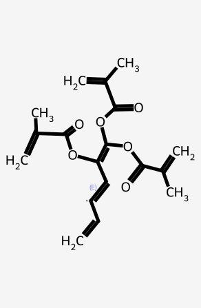 C=C/[C]=C/C(OC(=O)C(=C)C)=C(OC(=O)C(=C)C)OC(=O)C(=C)C